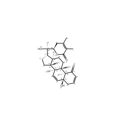 CC1=C(C)C(=O)O[C@@H]([C@](C)(O)[C@H]2CC[C@H]3[C@@H]4C=C[C@@]5(O)CC=CC(=O)[C@]5(C)[C@H]4CC[C@]23C)C1